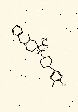 Cc1cc(C2CCN(S(=O)(=O)C3(C(=O)O)CCN(Cc4ccccc4)C(C)C3)CC2)ccc1Br